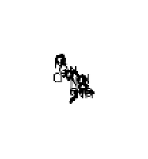 C/C=C/C(=O)Nc1cc2c(Nc3ccc(OCc4ccccn4)c(Cl)c3)c(C#N)cnc2cc1OCC